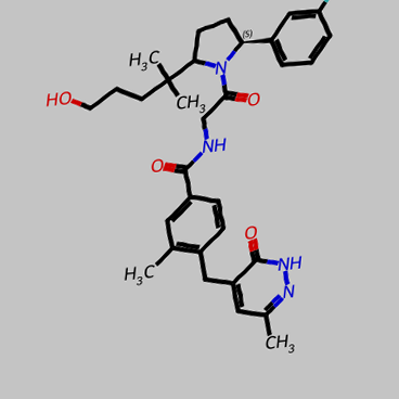 Cc1cc(Cc2ccc(C(=O)NCC(=O)N3C(C(C)(C)CCCO)CC[C@H]3c3cccc(F)c3)cc2C)c(=O)[nH]n1